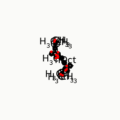 CCCCCCCCC1(C)c2cc(-c3ccc(N(c4ccc(B5OC(C)(C)C(C)(C)O5)cc4)c4ccccc4-c4ccccc4)cc3)ccc2-c2ccc(N(c3ccc(B4OC(C)(C)C(C)(C)O4)cc3)c3ccccc3-c3ccccc3)cc21